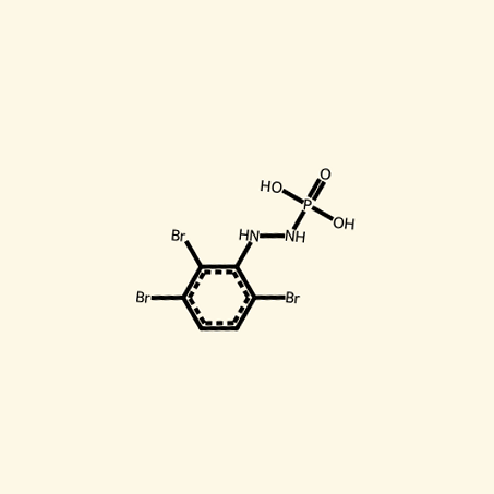 O=P(O)(O)NNc1c(Br)ccc(Br)c1Br